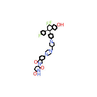 O=C1CCC(N2Cc3cc(N4CCN(CC5CCN(c6ccc([C@@H]7c8ccc(O)cc8C(F)(F)C[C@@H]7c7ccc(F)cc7)cc6)CC5)CC4)ccc3C2=O)C(=O)N1